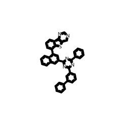 c1ccc(-c2cccc(-c3nc(-c4ccccc4)nc(-c4cc(-c5cccc6c5sc5cncnc56)c5ccccc5c4)n3)c2)cc1